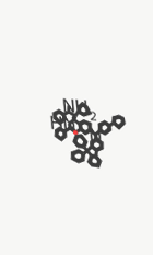 NC(/C(=C1\NC(c2ccccc2)=Cc2cc(N(c3ccc(-c4ccccc4)cc3)c3ccc4c(c3)C(c3ccccc3)(c3ccccc3)c3ccccc3-4)ccc21)c1ccccc1)c1ccccc1